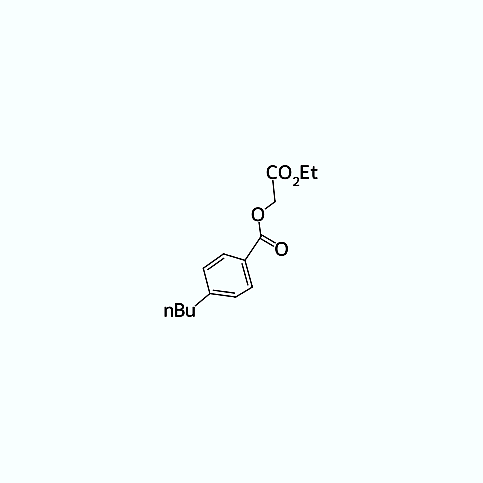 CCCCc1ccc(C(=O)OCC(=O)OCC)cc1